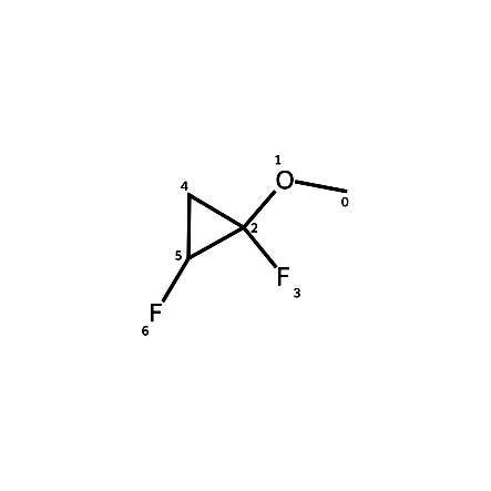 COC1(F)CC1F